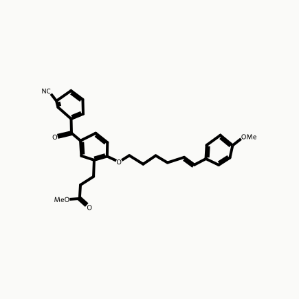 COC(=O)CCc1cc(C(=O)c2cccc(C#N)c2)ccc1OCCCCC=Cc1ccc(OC)cc1